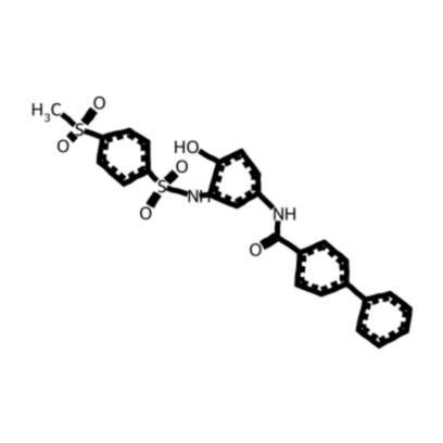 CS(=O)(=O)c1ccc(S(=O)(=O)Nc2cc(NC(=O)c3ccc(-c4ccccc4)cc3)ccc2O)cc1